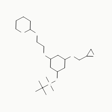 CC(C)(C)[Si](C)(C)OC1CC(OCCOC2CCCCO2)CC(OCC2CO2)C1